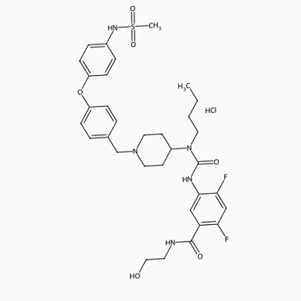 CCCCN(C(=O)Nc1cc(C(=O)NCCO)c(F)cc1F)C1CCN(Cc2ccc(Oc3ccc(NS(C)(=O)=O)cc3)cc2)CC1.Cl